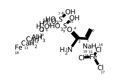 C=CC(N)=O.O.O.O=S(=O)(O)O.O=S(=O)(O)O.[AlH3].[CaH+].[CaH2].[Cl][Fe]([Cl])[Cl].[Fe].[NaH].[OH-]